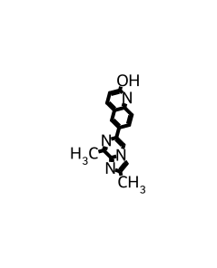 Cc1cn2cc(-c3ccc4nc(O)ccc4c3)nc(C)c2n1